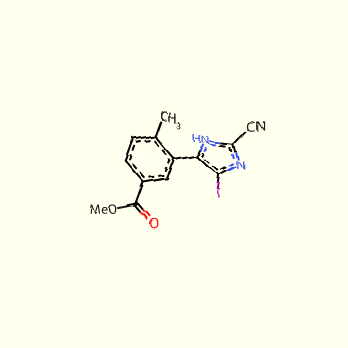 COC(=O)c1ccc(C)c(-c2[nH]c(C#N)nc2I)c1